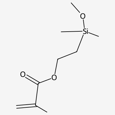 C=C(C)C(=O)OCC[Si](C)(C)OC